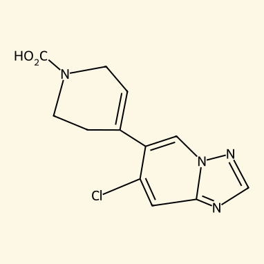 O=C(O)N1CC=C(c2cn3ncnc3cc2Cl)CC1